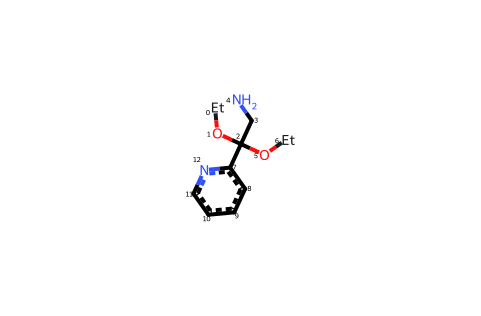 CCOC(CN)(OCC)c1ccccn1